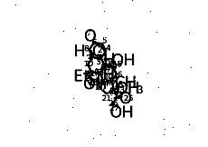 CCO.C[C@]12C=CC(=O)C=C1CC[C@@H]1[C@@H]2[C@@H](O)C[C@@]2(C)[C@H]1CC[C@]2(O)C(=O)CO